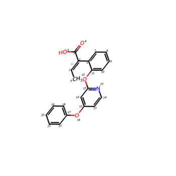 C/C=C(/C(=O)O)c1ccccc1Oc1cc(Oc2ccccc2)ccn1